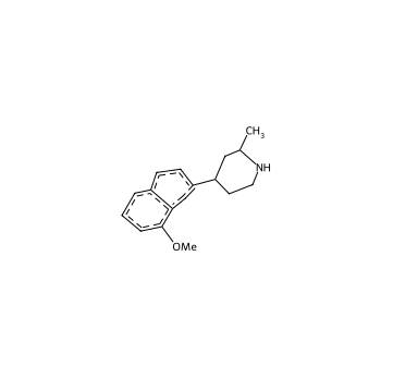 COc1cccc2ccc(C3CCNC(C)C3)cc12